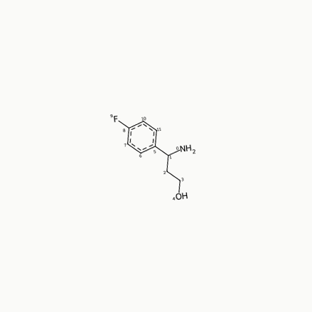 NC(CCO)c1ccc(F)cc1